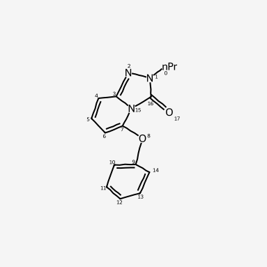 CCCn1nc2cccc(Oc3ccccc3)n2c1=O